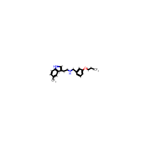 FC(F)(F)CCOc1cccc(CNCCc2c[nH]c3ccc(C(F)(F)F)cc23)c1